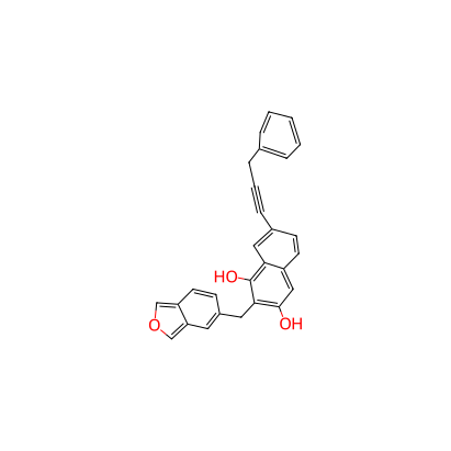 Oc1cc2ccc(C#CCc3ccccc3)cc2c(O)c1Cc1ccc2cocc2c1